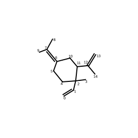 C=CC1(C)CCC(=C(C)C)CC1C(=C)C